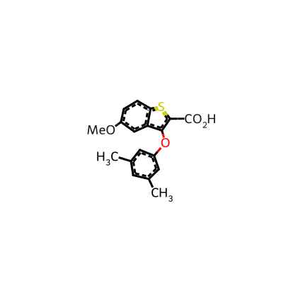 COc1ccc2sc(C(=O)O)c(Oc3cc(C)cc(C)c3)c2c1